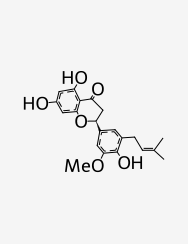 COc1cc([C@@H]2CC(=O)c3c(O)cc(O)cc3O2)cc(CC=C(C)C)c1O